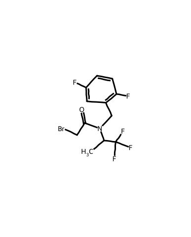 CC(N(Cc1cc(F)ccc1F)C(=O)CBr)C(F)(F)F